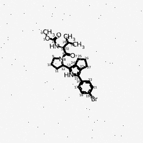 COC(=O)N[C@H](C(=O)N1CCCC1c1[nH]c(-c2ccc(Br)cc2)c2c1CCC2)C(C)C